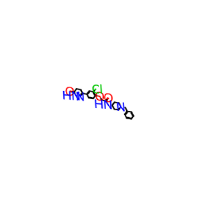 O=C1CCC(c2ccc(OCC(=O)NC3CCN(Cc4ccccc4)CC3)c(Cl)c2)=NN1